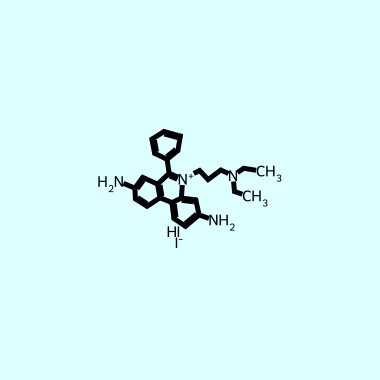 CCN(CC)CCC[n+]1c(-c2ccccc2)c2cc(N)ccc2c2ccc(N)cc21.I.[I-]